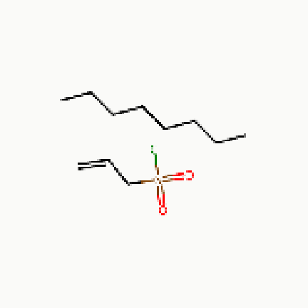 C=CCS(=O)(=O)Cl.CCCCCCCC